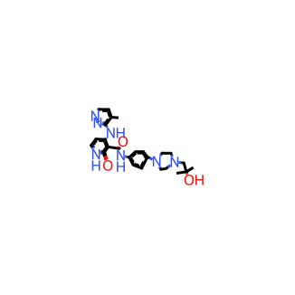 Cc1ccnnc1Nc1cc[nH]c(=O)c1C(=O)Nc1ccc(N2CCN(CC(C)(C)O)CC2)cc1